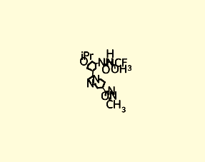 Cc1nnc(-c2ccn3c(-c4cc(NC(=O)NC(O)C(F)(F)F)cc(OC(C)C)c4)cnc3c2)o1